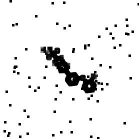 NS(=O)(=O)c1nn2cc(-c3cccc(Oc4ccccc4Br)c3)nc2s1